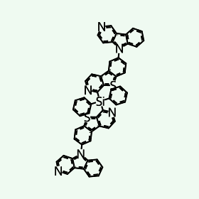 c1ccc([Si](c2ccccc2)(c2nccc3c2sc2ccc(-n4c5ccccc5c5cnccc54)cc23)c2nccc3c2sc2ccc(-n4c5ccccc5c5cnccc54)cc23)cc1